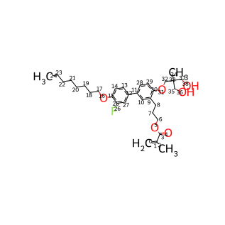 C=C(C)C(=O)OCCCc1cc(-c2ccc(OCCCCCCCC)c(F)c2)ccc1OCC(C)(CO)CO